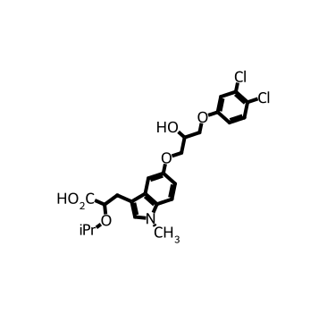 CC(C)OC(Cc1cn(C)c2ccc(OCC(O)COc3ccc(Cl)c(Cl)c3)cc12)C(=O)O